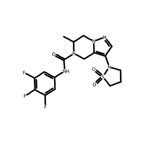 CC1Cn2ncc(N3CCCS3(=O)=O)c2CN1C(=O)Nc1cc(F)c(F)c(F)c1